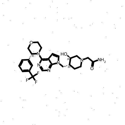 NC(=O)CN1CC[C@H](Cn2ccc3c(N4CCOC[C@H]4c4cccc(C(F)(F)F)c4)ncnc32)[C@@H](O)C1